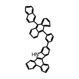 c1cc(-c2ccc3c(c2)[nH]c2c4ccccc4c4ccccc4c32)cc(-c2c3ccccc3c(-c3ccc4ccccc4c3)c3ccccc23)c1